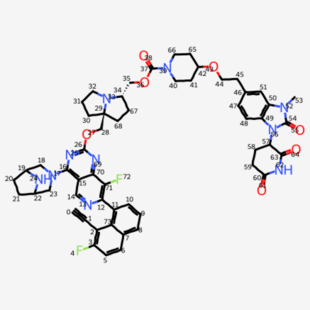 C#Cc1c(F)ccc2cccc(-c3ncc4c(N5CC6CCC(C5)N6)nc(OC[C@@]56CCCN5[C@H](COC(=O)N5CCC(OCCc7ccc8c(c7)n(C)c(=O)n8C7CCC(=O)NC7=O)CC5)CC6)nc4c3F)c12